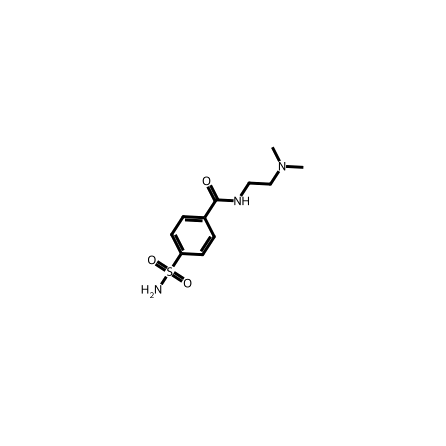 CN(C)CCNC(=O)c1ccc(S(N)(=O)=O)cc1